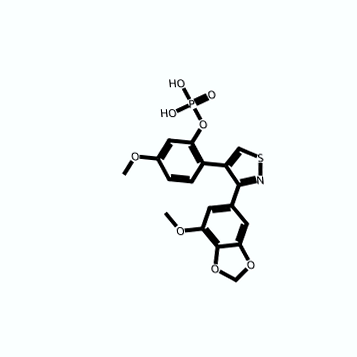 COc1ccc(-c2csnc2-c2cc(OC)c3c(c2)OCO3)c(OP(=O)(O)O)c1